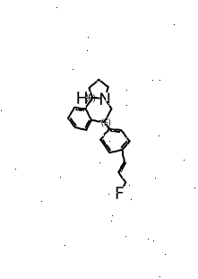 FCC=Cc1ccc([C@@H]2CN3CCC[C@@H]3c3ccccc32)cc1